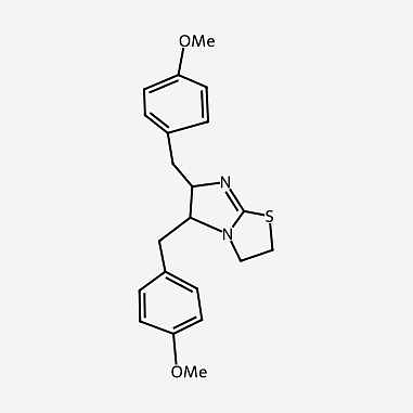 COc1ccc(CC2N=C3SCCN3C2Cc2ccc(OC)cc2)cc1